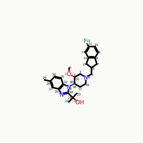 CO[C@H]1CN(CC2Cc3ccc(F)cc3C2)CC[C@H]1n1c(C(C)(C)O)nc2cc(C)ccc21